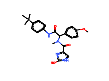 COc1ccc(C(C(=O)Nc2ccc([Si](C)(C)C)cc2)N(C)C(=O)c2c[nH]c(O)n2)cc1